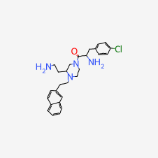 NCCC1CN(C(=O)C(N)Cc2ccc(Cl)cc2)CCN1CCc1ccc2ccccc2c1